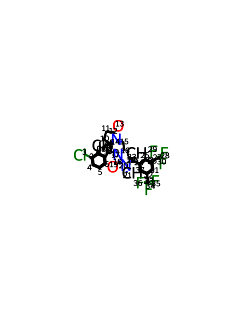 Cc1c(Cl)cccc1[C@H]1[C@@H]2CCC(=O)N2CCN1C(=O)N(C)[C@H](C)c1cc(C(F)(F)F)cc(C(F)(F)F)c1